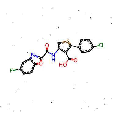 O=C(Nc1csc(-c2ccc(Cl)cc2)c1C(=O)O)c1nc2cc(F)ccc2o1